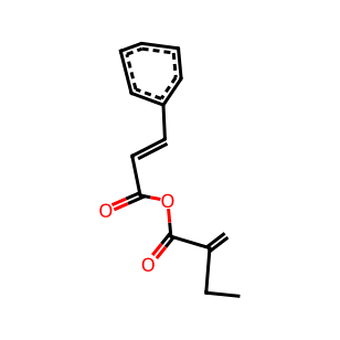 C=C(CC)C(=O)OC(=O)C=Cc1ccccc1